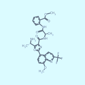 COC(=O)c1ccccc1NC(=O)[C@@H](C)NC(=O)c1nc(-c2ccc(OC)c3nc(C(F)(F)F)ccc23)oc1[C@H](C)N